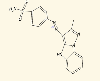 Cc1nn2c([nH]c3ccccc32)c1/N=N/c1ccc(S(N)(=O)=O)cc1